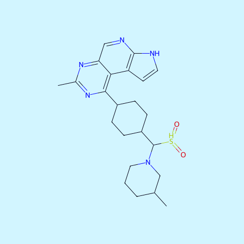 Cc1nc(C2CCC(C(N3CCCC(C)C3)[SH](=O)=O)CC2)c2c(cnc3[nH]ccc32)n1